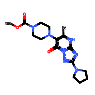 CCc1[nH]c2nc(N3CCCC3)nn2c(=O)c1N1CCN(C(=O)OC(C)(C)C)CC1